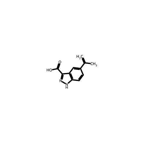 C=C(C)c1ccc2[nH]nc(C(=O)O)c2c1